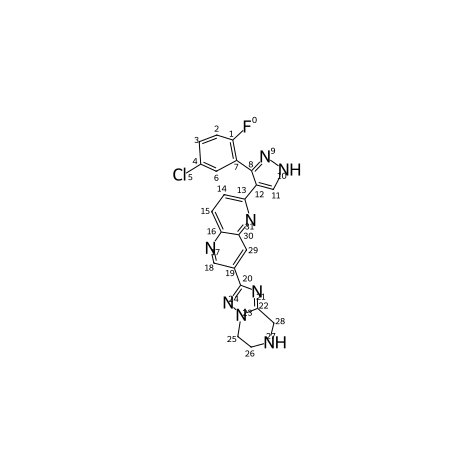 Fc1ccc(Cl)cc1-c1n[nH]cc1-c1ccc2ncc(-c3nc4n(n3)CCNC4)cc2n1